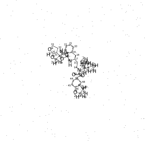 [2H]C([2H])([2H])C([2H])(C([2H])([2H])[2H])C([2H])([2H])N(C[C@@H](O)[C@H](Cc1ccccc1)NC(=O)O[C@]1([2H])[C@@H]2CCO[C@@H]2OC1([2H])[2H])S(=O)(=O)c1ccc2c(c1)C([2H])([2H])C([2H])([2H])O2